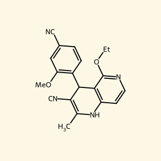 [C-]#[N+]C1=C(C)Nc2ccnc(OCC)c2C1c1ccc(C#N)cc1OC